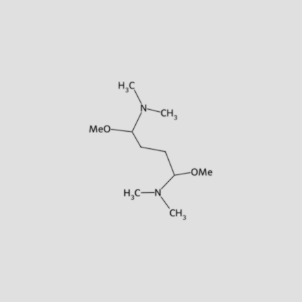 COC(CCC(OC)N(C)C)N(C)C